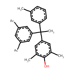 CC(=O)c1cc(C(C)=O)cc(C(C)(c2cccc(C)c2)c2cc(C)c(O)c(C)c2)c1